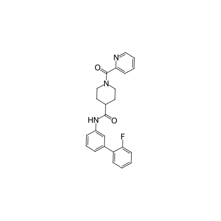 O=C(Nc1cccc(-c2ccccc2F)c1)C1CCN(C(=O)c2ccccn2)CC1